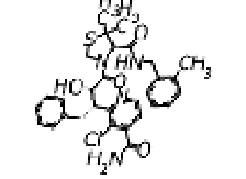 Cc1ccccc1CNC(=O)[C@H]1N(C(=O)[C@@H](O)[C@@H](Cc2ccccc2)c2nccc(C(N)=O)c2Cl)CSC1(C)C